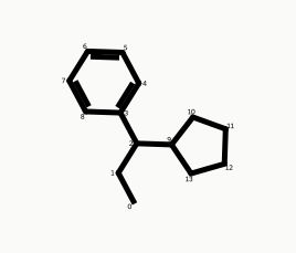 CCC(c1ccccc1)C1CCCC1